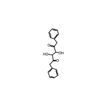 O=C(Cc1ccccc1)C(O)C(O)C(=O)Cc1ccccc1